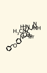 CC(C)CCN(CC(C)(C)NC(=O)C(N)Cc1cnc[nH]1)c1ccc(OCc2ccccc2)cc1